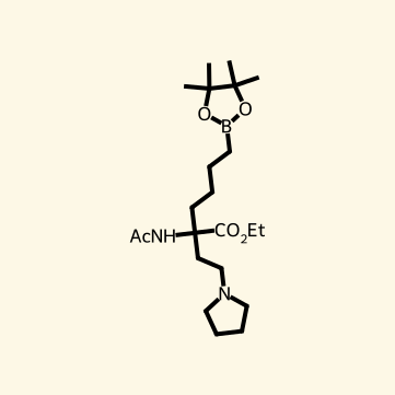 CCOC(=O)C(CCCCB1OC(C)(C)C(C)(C)O1)(CCN1CCCC1)NC(C)=O